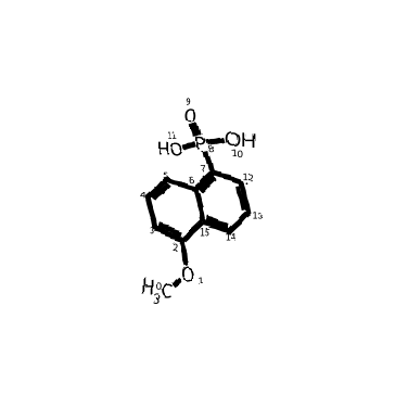 COc1cccc2c(P(=O)(O)O)[c]ccc12